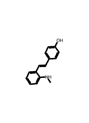 CNc1ccccc1C=Cc1ccc(O)cc1